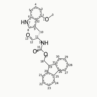 COc1cccc2[nH]cc(C[C@@H](C=O)NC(=O)OCC3c4ccccc4-c4ccccc43)c12